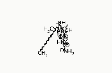 CCCCCCCCCCCCCCCC(CC)NN[C@@H](CC(N)=O)C(=O)N[C@@H](CO)C(=O)N1CCC[C@H]1C(=O)N[C@H](C=O)CCC(N)=O